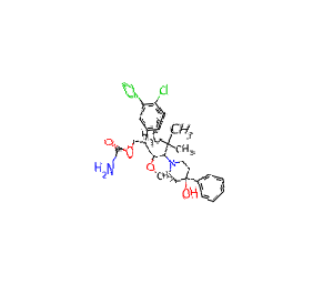 COC(C(COC(N)=O)c1ccc(Cl)c(Cl)c1)C(N1CCC(O)(c2ccccc2)CC1)C(C)(C)C